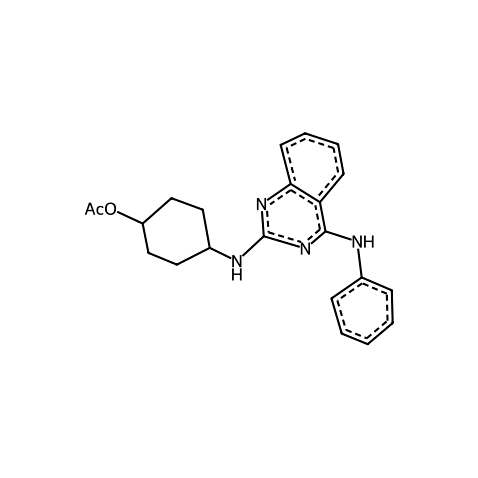 CC(=O)OC1CCC(Nc2nc(Nc3ccccc3)c3ccccc3n2)CC1